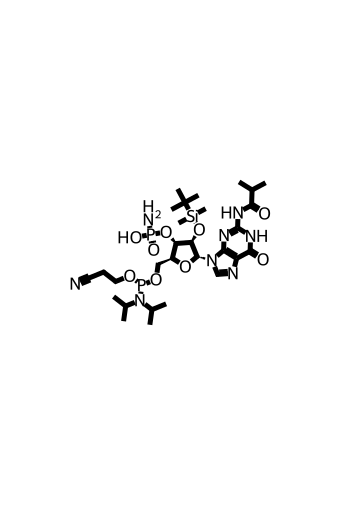 CC(C)C(=O)Nc1nc2c(ncn2[C@@H]2O[C@@H](COP(OCCC#N)N(C(C)C)C(C)C)[C@@H](OP(N)(=O)O)[C@H]2O[Si](C)(C)C(C)(C)C)c(=O)[nH]1